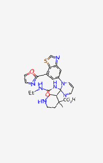 CCNC(=O)NC1(C2CNCCC2(C)C(=O)O)N=CC=CN1c1cc(-c2ncco2)c2scnc2c1